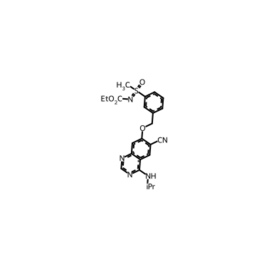 CCOC(=O)N=S(C)(=O)c1cccc(COc2cc3ncnc(NC(C)C)c3cc2C#N)c1